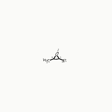 [CH2]CC1OC1C